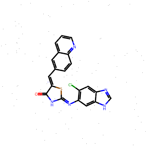 O=C1N/C(=N/c2cc3[nH]cnc3cc2Cl)S/C1=C\c1ccc2ncccc2c1